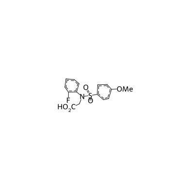 COc1ccc(S(=O)(=O)N(CC(=O)O)c2ccccc2F)cc1